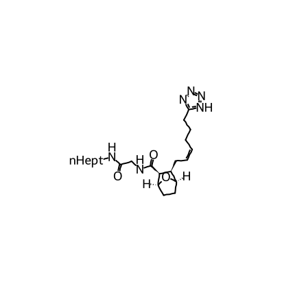 CCCCCCCNC(=O)CNC(=O)[C@H]1[C@@H](C/C=C\CCCc2nnn[nH]2)[C@H]2CC[C@@H]1O2